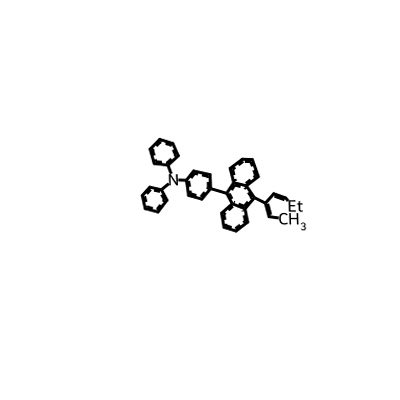 C/C=C(\C=C/CC)c1c2ccccc2c(-c2ccc(N(c3ccccc3)c3ccccc3)cc2)c2ccccc12